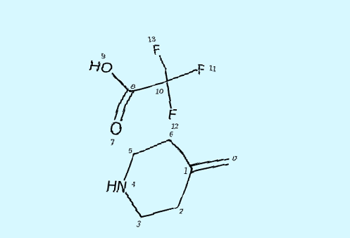 C=C1CCNCC1.O=C(O)C(F)(F)F